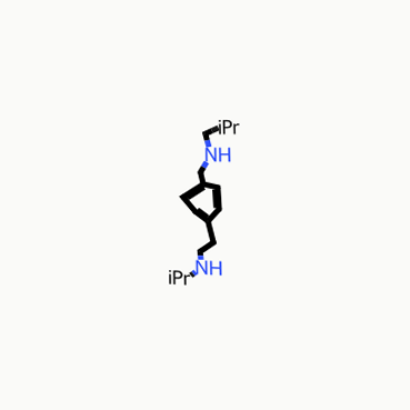 CC(C)CNCc1ccc(CCNC(C)C)cc1